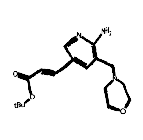 CC(C)(C)OC(=O)C=Cc1cnc(N)c(CN2CCOCC2)c1